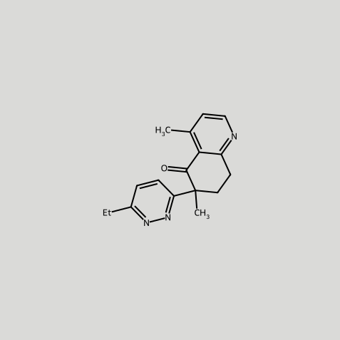 CCc1ccc(C2(C)CCc3nccc(C)c3C2=O)nn1